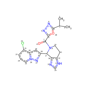 CC(C)c1nnc(C(=O)N2CCc3[nH]cnc3C2c2cc3c(Cl)cccn3n2)o1